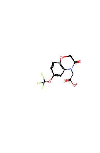 O=C(O)CN1C(=O)COc2ccc(OC(F)(F)F)cc21